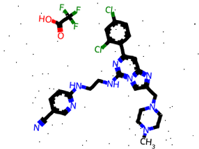 CN1CCN(Cc2cn3c(NCCNc4ccc(C#N)cn4)nc(-c4ccc(Cl)cc4Cl)cc3n2)CC1.O=C(O)C(F)(F)F